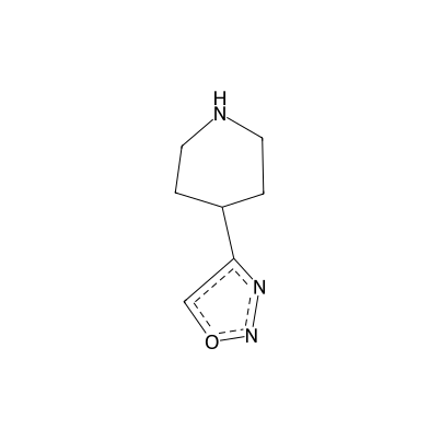 c1onnc1C1CCNCC1